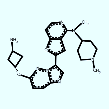 CN1CCC(N(C)c2nccc3oc(-c4cnc5ccc(O[C@H]6C[C@H](N)C6)nn45)cc23)CC1